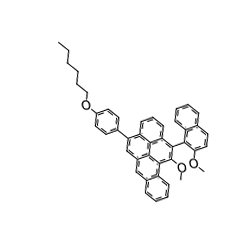 CCCCCCOc1ccc(-c2cc3cc4ccccc4c4c(OC)c(-c5c(OC)ccc6ccccc56)c5cccc2c5c34)cc1